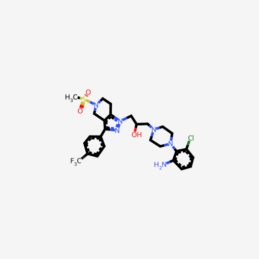 CS(=O)(=O)N1CCc2c(c(-c3ccc(C(F)(F)F)cc3)nn2CC(O)CN2CCN(c3c(N)cccc3Cl)CC2)C1